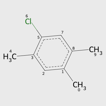 Cc1cc(C)c(Cl)cc1C